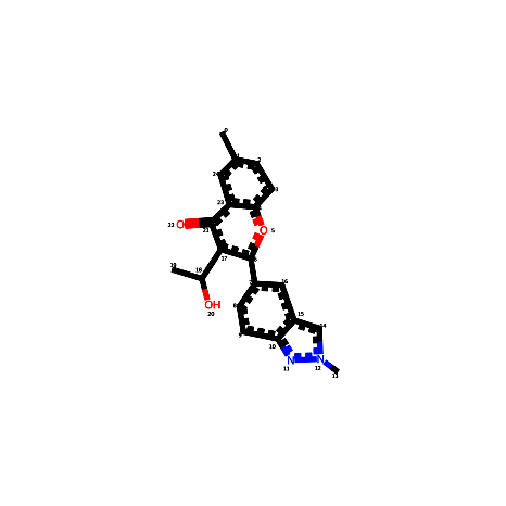 Cc1ccc2oc(-c3ccc4nn(C)cc4c3)c(C(C)O)c(=O)c2c1